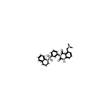 CN(C)Cc1cccc2[nH]c(=O)n(-c3cccc(S(=O)(=O)N4CCCc5ccccc54)c3)c(=O)c12